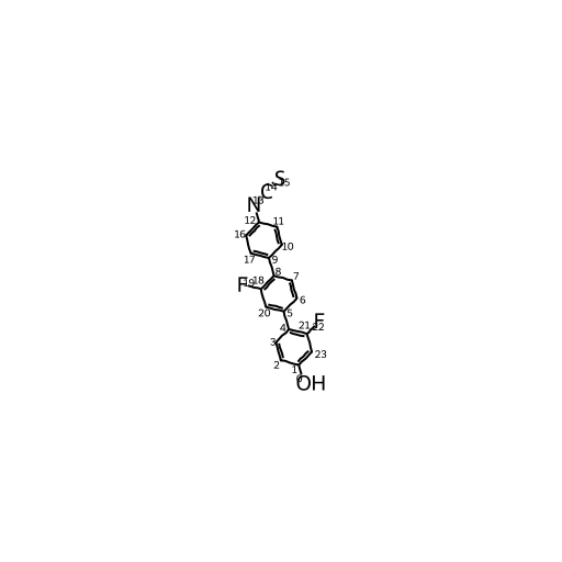 Oc1ccc(-c2ccc(-c3ccc(N=C=S)cc3)c(F)c2)c(F)c1